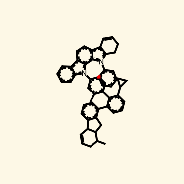 Cc1cc(-n2c3ccccc3c3ccc4c5c(n(-c6ccccc6)c4c32)CCC=C5)ccc1-c1c(-c2cccc3c2CC2C(C)CC=CC32)cccc1C1CC1